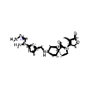 CC1=C(N2CC[C@]3(CC[C@@H](NCc4cnc(N(N)/C=N\N)s4)CC3)C2=O)COC1=O